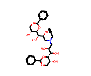 C#CCN(C[C@H](O)C(O)[C@@H]1OC(c2ccccc2)OC[C@H]1O)C[C@H](O)[C@@H](O)[C@@H]1OC(c2ccccc2)OC[C@H]1O